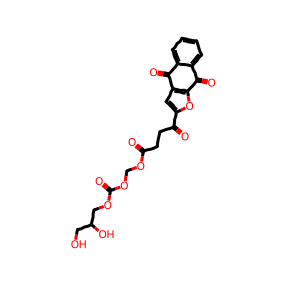 O=C(CCC(=O)c1cc2c(o1)C(=O)c1ccccc1C2=O)OCOC(=O)OCC(O)CO